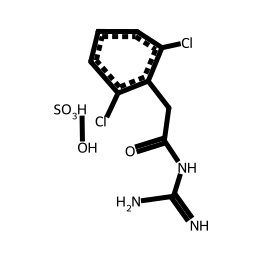 N=C(N)NC(=O)Cc1c(Cl)cccc1Cl.O=S(=O)(O)O